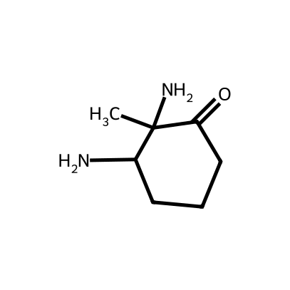 CC1(N)C(=O)CCCC1N